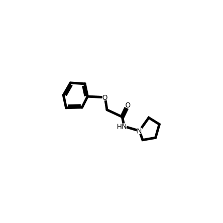 O=C(COc1ccccc1)NN1CCCC1